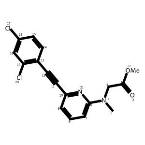 COC(=O)CN(C)c1cccc(C#Cc2ccc(Cl)cc2Cl)n1